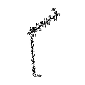 COCCOCCOCCOCCOCCOCCOCCOCCNC(=O)C(COC)NC(=O)CNC(=O)CNC(=O)CNC(=O)CNC(=O)CCNC(=O)OCC(C)(C)C